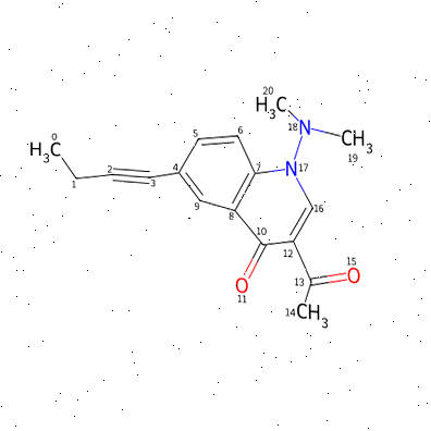 CCC#Cc1ccc2c(c1)c(=O)c(C(C)=O)cn2N(C)C